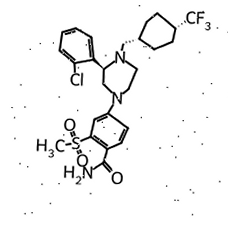 CS(=O)(=O)c1cc(N2CCN(C[C@H]3CC[C@@H](C(F)(F)F)CC3)[C@H](c3ccccc3Cl)C2)ccc1C(N)=O